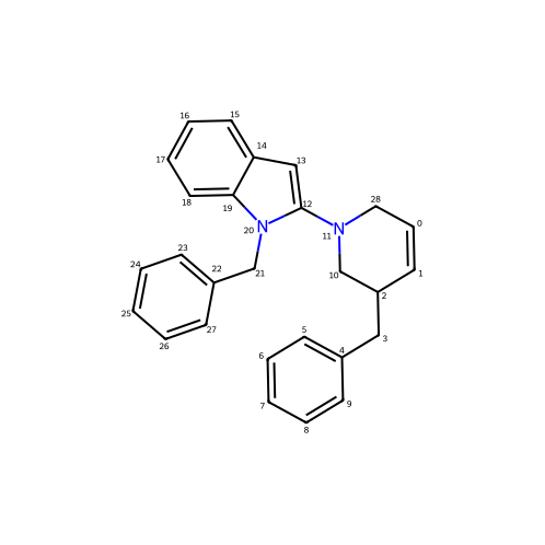 C1=CC(Cc2ccccc2)CN(c2cc3ccccc3n2Cc2ccccc2)C1